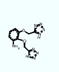 Nc1cccc(OCc2nnn[nH]2)c1OCc1nnn[nH]1